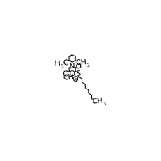 CCCCCCCCCC(=O)SCC(=O)N(CC(=O)OC)c1c(C)cccc1C